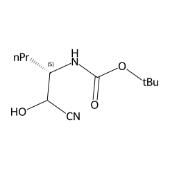 CCC[C@H](NC(=O)OC(C)(C)C)C(O)C#N